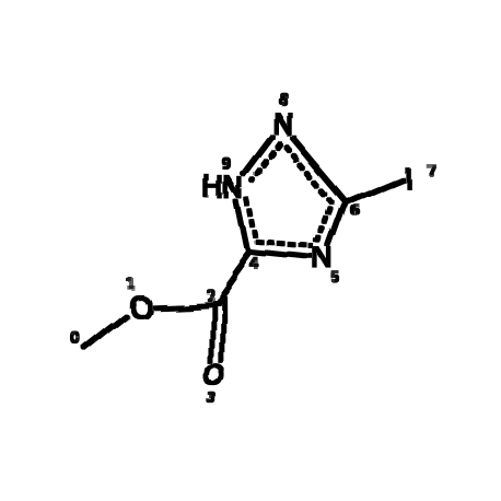 COC(=O)c1nc(I)n[nH]1